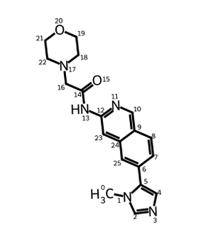 Cn1cncc1-c1ccc2cnc(NC(=O)CN3CCOCC3)cc2c1